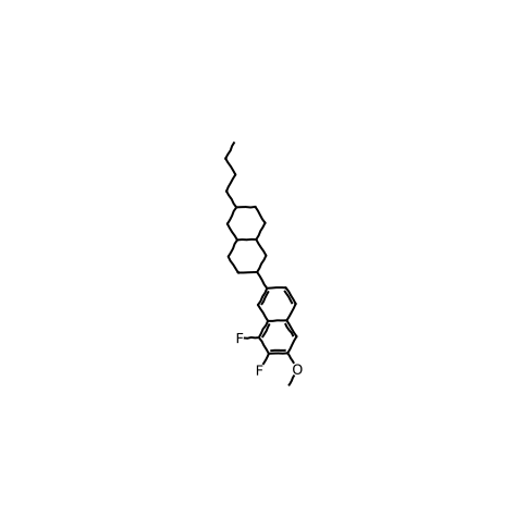 CCCCC1CCC2CC(c3ccc4cc(OC)c(F)c(F)c4c3)CCC2C1